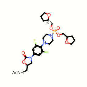 CC(=O)NCC1CN(c2cc(F)c(N3CCN(P(=O)(OCC4CCCO4)OC[C@@H]4CCCO4)CC3)c(F)c2)C(=O)O1